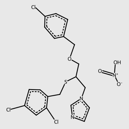 Clc1ccc(COCC(Cn2ccnc2)SCc2ccc(Cl)cc2Cl)cc1.O=[N+]([O-])O